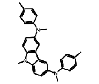 Cc1ccc(N(C)c2ccc3c(c2)c2cc(N(C)c4ccc(C)cc4)ccc2n3C)cc1